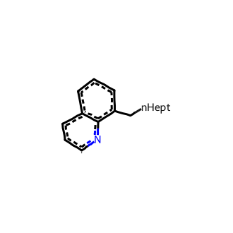 CCCCCCCCc1cccc2cc[c]nc12